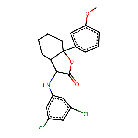 COc1cccc(C23CCCCC2C(Nc2cc(Cl)cc(Cl)c2)C(=O)O3)c1